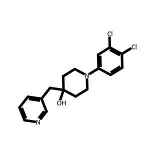 OC1(Cc2cccnc2)CCN(c2ccc(Cl)c(Cl)c2)CC1